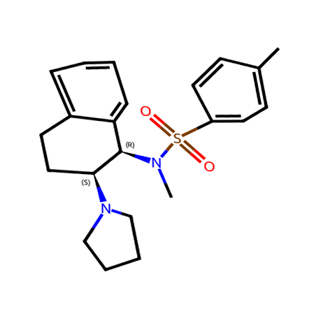 Cc1ccc(S(=O)(=O)N(C)[C@@H]2c3ccccc3CC[C@@H]2N2CCCC2)cc1